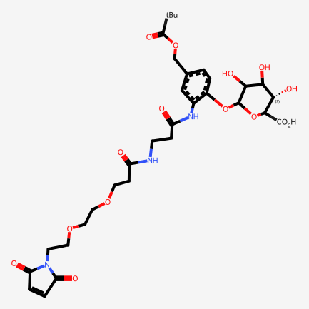 CC(C)(C)C(=O)OCc1ccc(OC2OC(C(=O)O)[C@@H](O)C(O)C2O)c(NC(=O)CCNC(=O)CCOCCOCCN2C(=O)C=CC2=O)c1